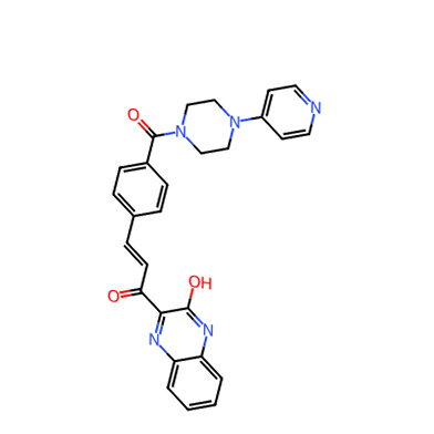 O=C(C=Cc1ccc(C(=O)N2CCN(c3ccncc3)CC2)cc1)c1nc2ccccc2nc1O